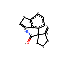 C=C1CCCC1(C([NH])=O)c1cccc2c1C=CC2